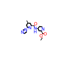 CCOC(=O)c1cc(NC(=O)c2cc(C)cc(-n3ccnc3)n2)ccn1